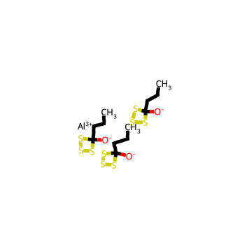 CCCC1([O-])SSS1.CCCC1([O-])SSS1.CCCC1([O-])SSS1.[Al+3]